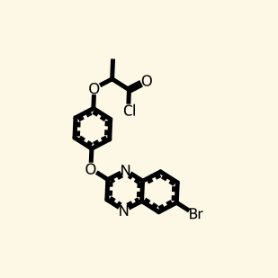 CC(Oc1ccc(Oc2cnc3cc(Br)ccc3n2)cc1)C(=O)Cl